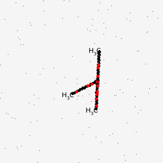 CCCCCCCCCCCCCCCCCCCCCCN(CCCCCCCCCCCCCCCCCCCC)CCCCCCCCCCCCCCCCCCCC